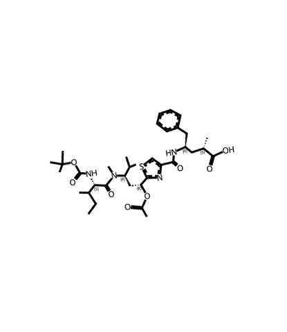 CCC(C)[C@H](NC(=O)OC(C)(C)C)C(=O)N(C)[C@H](C[C@@H](OC(C)=O)c1nc(C(=O)N[C@@H](Cc2ccccc2)C[C@H](C)C(=O)O)cs1)C(C)C